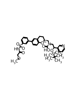 COCC(=O)NS(=O)(=O)c1cccc(-c2ccc3c(c2)CC[C@@H](CN(CC(O[Si](C)(C)C(C)(C)C)c2cccnc2)C(=O)O)O3)c1